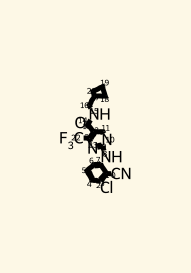 N#Cc1c(Cl)cccc1Nc1ncc(C(=O)NCC2CCC2)c(C(F)(F)F)n1